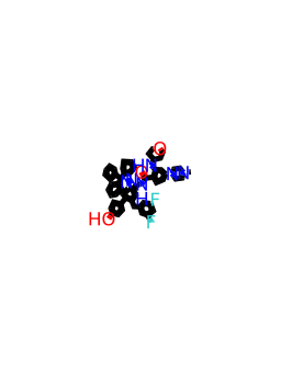 CN1CCN(c2ccc(C(=O)Nc3nn(C(c4ccccc4)(c4ccccc4)c4ccccc4)c4cc(-c5ccc(O)cc5)c(Cc5cc(F)cc(F)c5)cc34)c(NC3CCOCC3)c2)CC1